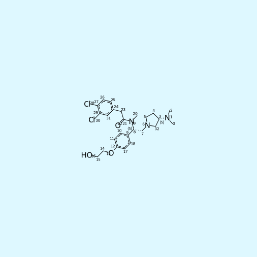 CN(C)[C@H]1CCN(C[C@H](c2ccc(OCCO)cc2)N(C)C(=O)Cc2ccc(Cl)c(Cl)c2)C1